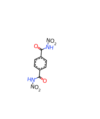 O=C(N[N+](=O)[O-])c1ccc(C(=O)N[N+](=O)[O-])cc1